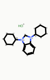 Cl.c1ccc2c(c1)N(C1CCCCC1)CN2C1CCCCC1